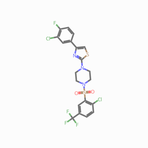 O=S(=O)(c1cc(C(F)(F)F)ccc1Cl)N1CCN(c2nc(-c3ccc(F)c(Cl)c3)cs2)CC1